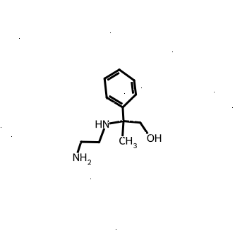 CC(CO)(NCCN)c1ccccc1